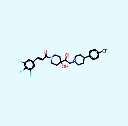 O=C(/C=C/c1cc(F)c(F)c(F)c1)N1CCC(O)(C(O)CN2CCC(c3ccc(C(F)(F)F)cc3)CC2)CC1